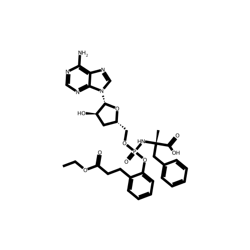 CCOC(=O)CCc1ccccc1OP(=O)(N[C@@](C)(Cc1ccccc1)C(=O)O)OC[C@@H]1C[C@@H](O)[C@H](n2cnc3c(N)ncnc32)O1